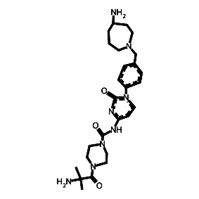 CC(C)(N)C(=O)N1CCN(C(=O)Nc2ccn(-c3ccc(CN4CCCC(N)CC4)cc3)c(=O)n2)CC1